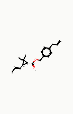 C=CCc1ccc(COC(=O)[C@@H]2[C@@H](/C=C/C)C2(C)C)cc1